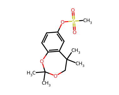 CC1(C)OCC(C)(C)c2cc(OS(C)(=O)=O)ccc2O1